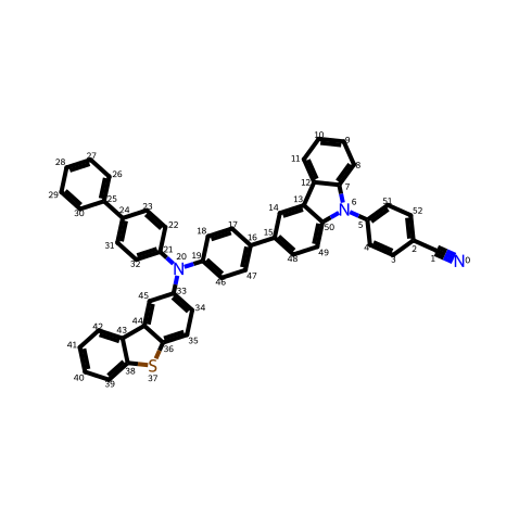 N#Cc1ccc(-n2c3ccccc3c3cc(-c4ccc(N(c5ccc(-c6ccccc6)cc5)c5ccc6sc7ccccc7c6c5)cc4)ccc32)cc1